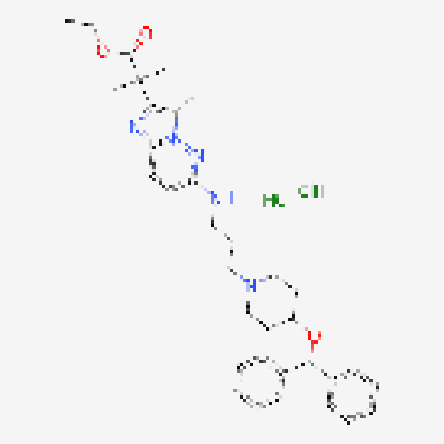 CCOC(=O)C(C)(C)c1nc2ccc(NCCCN3CCC(OC(c4ccccc4)c4ccccc4)CC3)nn2c1C.Cl.Cl